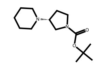 CC(C)(C)OC(=O)N1CC[C@@H](N2CCCCC2)C1